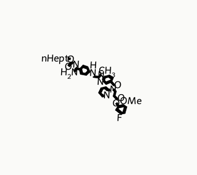 CCCCCCCOC(=O)/N=C(\N)c1ccc(NCc2nc3cc(C(=O)N(CCC(=O)Oc4cc(F)ccc4OC)c4ccccn4)ccc3n2C)cc1